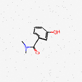 CN(C)C(=O)c1c[c]cc(O)c1